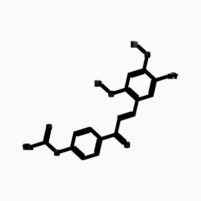 CCCc1cc(C=CC(=O)c2ccc(OC(=O)C(C)(C)C)cc2)c(OCC)cc1OCC